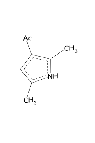 CC(=O)c1cc(C)[nH]c1C